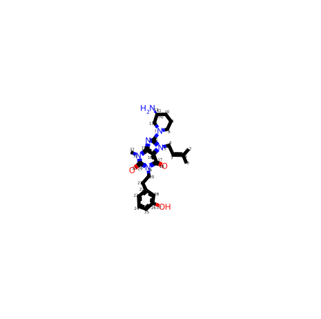 CC(C)=CCn1c(N2CCC[C@H](N)C2)nc2c1c(=O)n(CCc1cccc(O)c1)c(=O)n2C